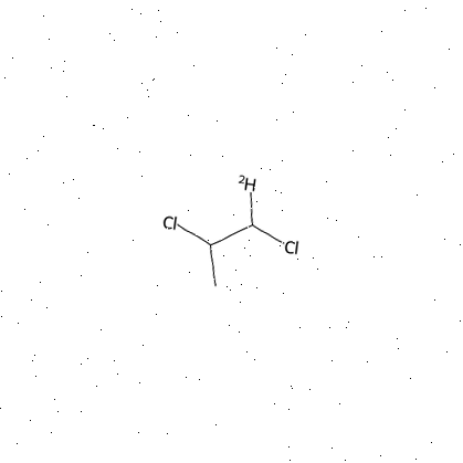 [2H]C(Cl)C(C)Cl